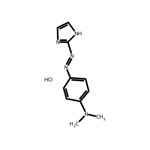 CN(C)c1ccc(N=Nc2ncc[nH]2)cc1.Cl